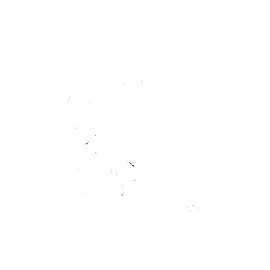 COc1[c]cc2c(c1)[C@H]1CC[C@]3(C)[C@@H](CO)CC[C@H]3[C@@H]1CC2